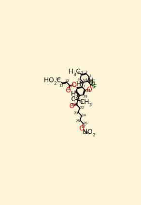 CC1=CC[C@@H]2[C@@H](C1)c1c(OC(=O)C=CC(=O)O)cc(C(C)(C)C(=O)CCCCCO[N+](=O)[O-])cc1OC2(F)F